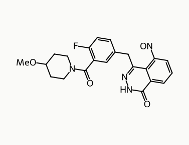 COC1CCN(C(=O)c2cc(Cc3n[nH]c(=O)c4cccc(N=O)c34)ccc2F)CC1